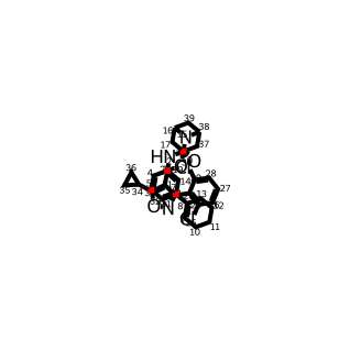 O=C(Nc1cccc(C2=CCCCC2)c1)N1C2CC(OCc3c(-c4c(Cl)cccc4Cl)noc3C3CC3)CC1C2